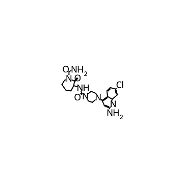 NC(=O)N1CCCCC(NC(=O)N2CCN(c3cc(N)nc4cc(Cl)ccc34)CC2)C1=O